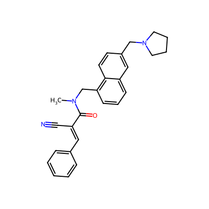 CN(Cc1cccc2cc(CN3CCCC3)ccc12)C(=O)/C(C#N)=C/c1ccccc1